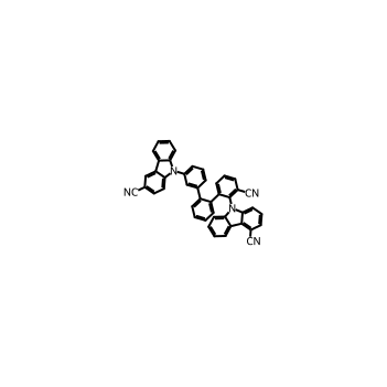 N#Cc1ccc2c(c1)c1ccccc1n2-c1cccc(-c2ccccc2-c2cccc(C#N)c2-n2c3ccccc3c3c(C#N)cccc32)c1